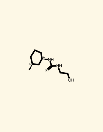 C[C@H]1CCC[C@@H](NC(=S)NCCO)C1